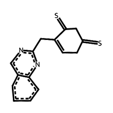 S=C1CC=C(Cc2ncc3ccccc3n2)C(=S)C1